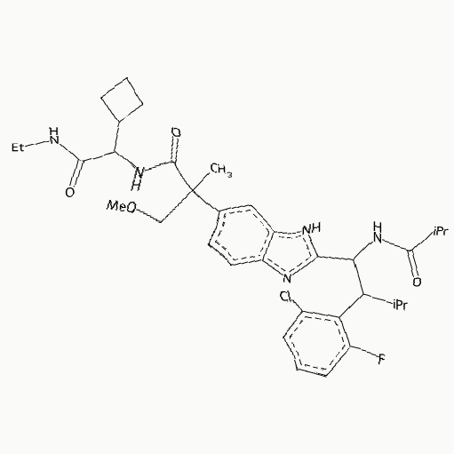 CCNC(=O)C(NC(=O)C(C)(COC)c1ccc2nc(C(NC(=O)C(C)C)C(c3c(F)cccc3Cl)C(C)C)[nH]c2c1)C1CCC1